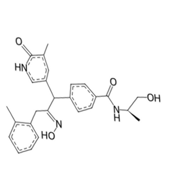 Cc1ccccc1C/C(=N\O)C(c1ccc(C(=O)N[C@H](C)CO)cc1)c1c[nH]c(=O)c(C)c1